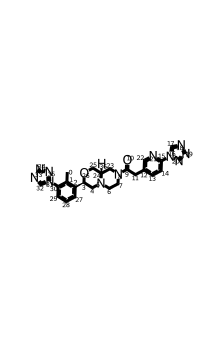 Cc1c([C@@H]2CN3CCN(C(=O)Cc4ccc(-n5cnnn5)nc4)C[C@H]3CO2)cccc1-n1cnnn1